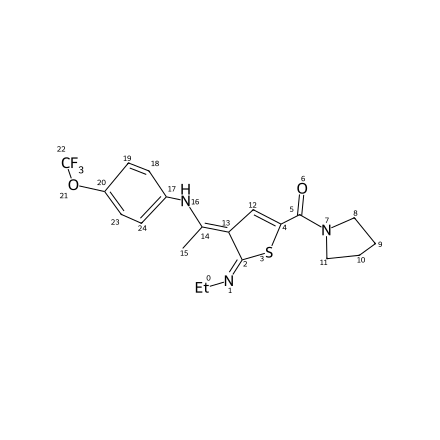 CC/N=C1/SC(C(=O)N2CCCC2)=C/C1=C(/C)Nc1ccc(OC(F)(F)F)cc1